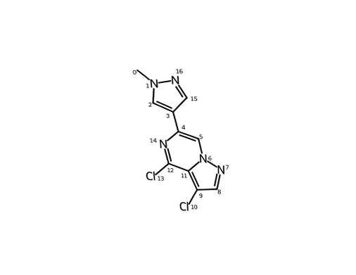 Cn1cc(-c2cn3ncc(Cl)c3c(Cl)n2)cn1